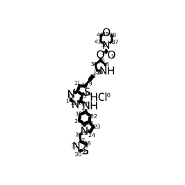 Cl.O=C(O[C@H]1CN[C@H](C#Cc2cc3ncnc(Nc4ccc5c(ccn5Cc5cscn5)c4)c3s2)C1)N1CCOCC1